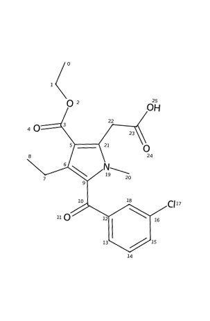 CCOC(=O)c1c(CC)c(C(=O)c2cccc(Cl)c2)n(C)c1CC(=O)O